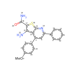 COc1ccc(-c2cc(-c3ccccc3)nc3sc(C(N)=O)c(N)c23)cc1